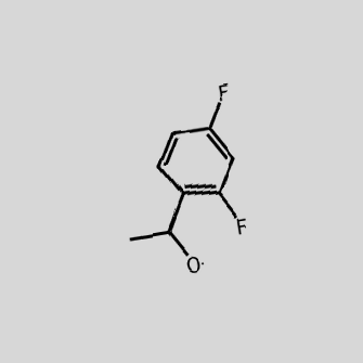 CC([O])c1ccc(F)cc1F